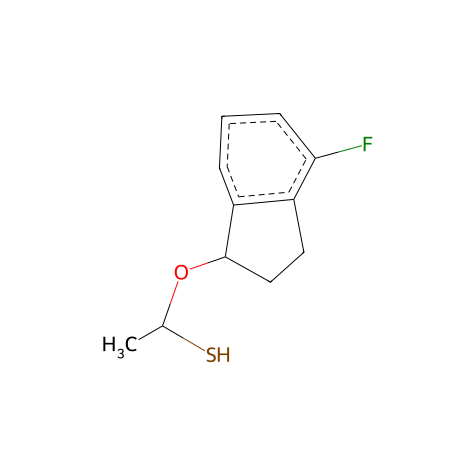 CC(S)OC1CCc2c(F)cccc21